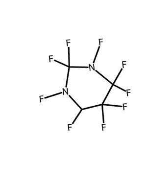 FC1N(F)C(F)(F)N(F)C(F)(F)C1(F)F